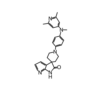 Cc1cc(N(C)c2ccc(N3CCC4(CC3)C(=O)Nc3ncccc34)cc2)cc(C)n1